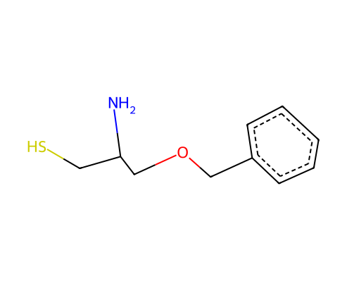 NC(CS)COCc1ccccc1